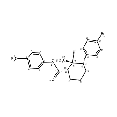 O=C(Nc1ccc(C(F)(F)F)cc1)[C@H]1CCC[C@@H](c2ccc(Br)cc2)[C@]1(F)C(=O)O